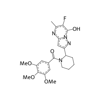 COc1cc(C(=O)N2CCCCC2c2cc3nc(C)c(F)c(O)n3n2)cc(OC)c1OC